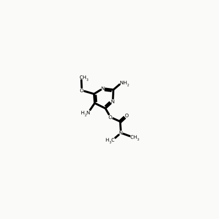 COc1nc(N)nc(OC(=O)N(C)C)c1N